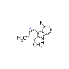 C=C/C=C\c1c(C=C)[nH]c2cccc(F)c12